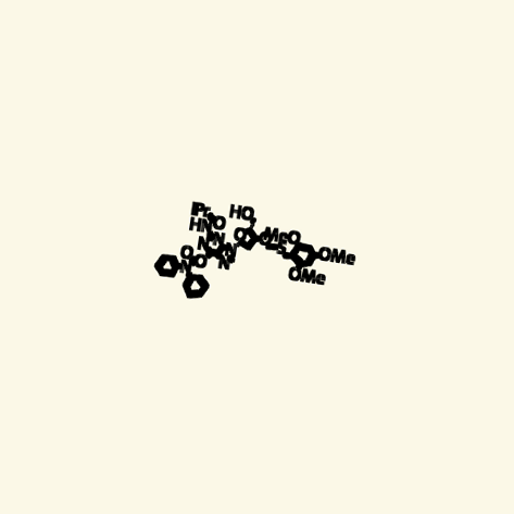 COc1cc(OC)c(CSCOC2C[C@H](n3cnc4c(OC(=O)N(c5ccccc5)c5ccccc5)nc(NC(=O)C(C)C)nc43)O[C@@H]2CO)c(OC)c1